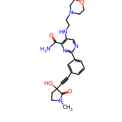 CN1CCC(O)(C#Cc2cccc(-c3ncc(NCCN4CCOCC4)c(C(N)=O)n3)c2)C1=O